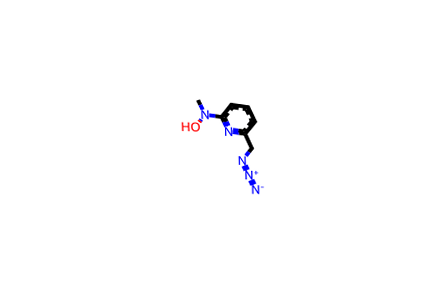 CN(O)c1cccc(CN=[N+]=[N-])n1